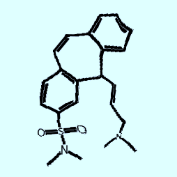 CN(C)CC=CC1c2ccccc2C=Cc2ccc(S(=O)(=O)N(C)C)cc21